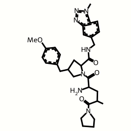 COc1ccc(CC2CC(C(=O)NCc3ccc4c(c3)nnn4C)N(C(=O)C(N)CC(C)C(=O)N3CCCC3)C2)cc1